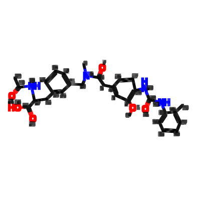 COc1cc(CC(=O)N(C)Cc2cccc(CC(NC(C)=O)C(=O)O)c2)ccc1NC(=O)Nc1ccccc1C